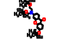 CC(C)(C)[Si](C)(C)OCCN(CO[Si](C)(C)C(C)(C)C)c1ccc2c(=O)c3ccc(O[Si](C)(C)C(C)(C)C)cc3oc2c1